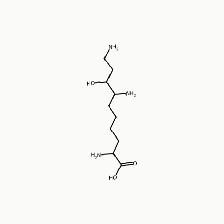 NCCC(O)C(N)CCCCC(N)C(=O)O